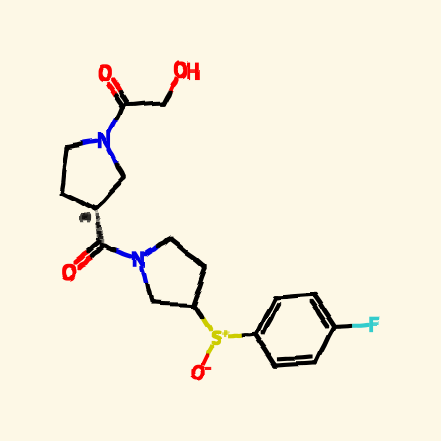 O=C(CO)N1CC[C@@H](C(=O)N2CCC([S+]([O-])c3ccc(F)cc3)C2)C1